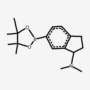 CN(C)C1CCc2ccc(B3OC(C)(C)C(C)(C)O3)cc21